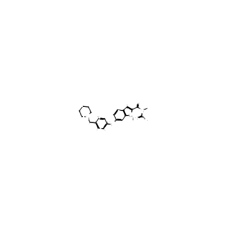 CN(C(=N)N)C(=O)c1cc2ccc(Oc3ccc(CN4CCCCC4)cc3)cc2[nH]1